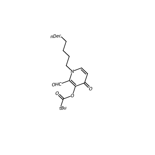 CCCCCCCCCCCCCCn1ccc(=O)c(OC(=O)C(C)(C)C)c1C=O